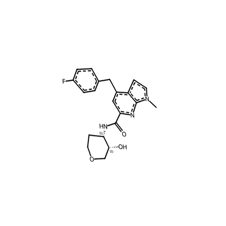 Cn1ccc2c(Cc3ccc(F)cc3)cc(C(=O)N[C@H]3CCOC[C@H]3O)nc21